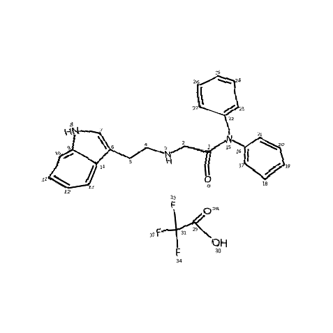 O=C(CNCCc1c[nH]c2ccccc12)N(c1ccccc1)c1ccccc1.O=C(O)C(F)(F)F